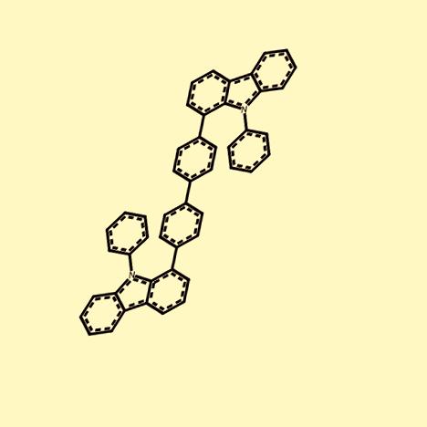 c1ccc(-n2c3ccccc3c3cccc(-c4ccc(-c5ccc(-c6cccc7c8ccccc8n(-c8ccccc8)c67)cc5)cc4)c32)cc1